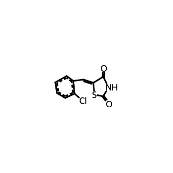 O=C1NC(=O)C(=Cc2ccccc2Cl)S1